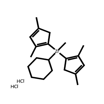 CC1=CC(C)=[C]([Zr]([CH3])([C]2=C(C)C=C(C)C2)[CH]2CCCCC2)C1.Cl.Cl